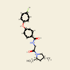 O=C(NCC(=O)N1C[C@H](C(F)(F)F)C[C@H]1C(=O)O)c1ccc(Oc2ccc(F)cc2)cc1